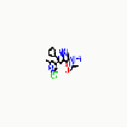 Cc1cc(-c2cc3c(=O)c(NC(C)C)c[nH]c3nc2-c2ccccc2)cc(Cl)n1